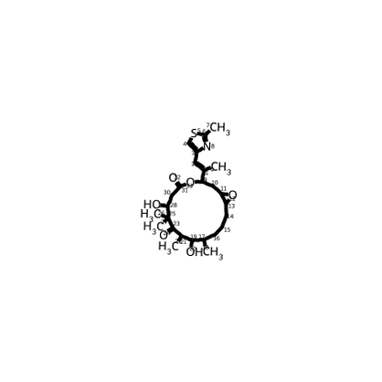 CC(=Cc1csc(C)n1)C1CC2OC2CCCC(C)C(O)C(C)C(=O)C(C)(C)C(O)CC(=O)O1